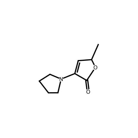 CC1C=C(N2CCCC2)C(=O)O1